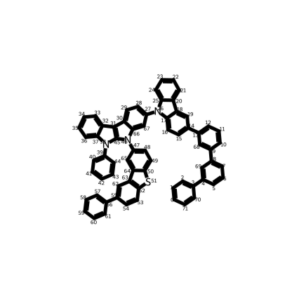 c1ccc(-c2cccc(-c3cccc(-c4ccc5c(c4)c4ccccc4n5-c4ccc5c6c7ccccc7n(-c7ccccc7)c6n(-c6ccc7sc8ccc(-c9ccccc9)cc8c7c6)c5c4)c3)c2)cc1